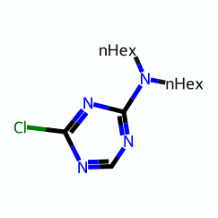 CCCCCCN(CCCCCC)c1ncnc(Cl)n1